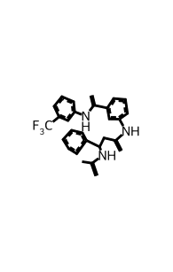 C=C(C)NC(CC(=C)Nc1cccc(C(=C)Nc2cccc(C(F)(F)F)c2)c1)c1ccccc1